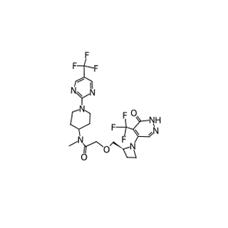 CN(C(=O)COC[C@@H]1CCN1c1cn[nH]c(=O)c1C(F)(F)F)C1CCN(c2ncc(C(F)(F)F)cn2)CC1